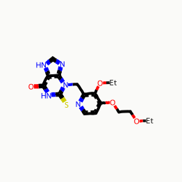 CCOCCOc1ccnc(Cn2c(=S)[nH]c(=O)c3[nH]cnc32)c1OCC